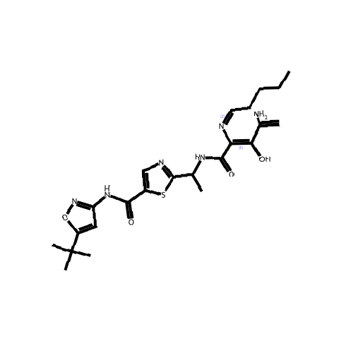 C=C(N)/C(O)=C(\N=C/CCCC)C(=O)NC(C)c1ncc(C(=O)Nc2cc(C(C)(C)C)on2)s1